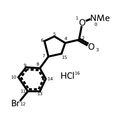 CNOC(=O)C1CCC(c2ccc(Br)cc2)C1.Cl